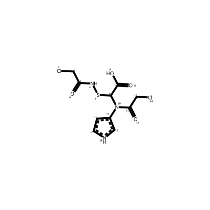 O=C(CCl)NSC(C(=O)O)N(C(=O)CCl)c1cc[nH]c1